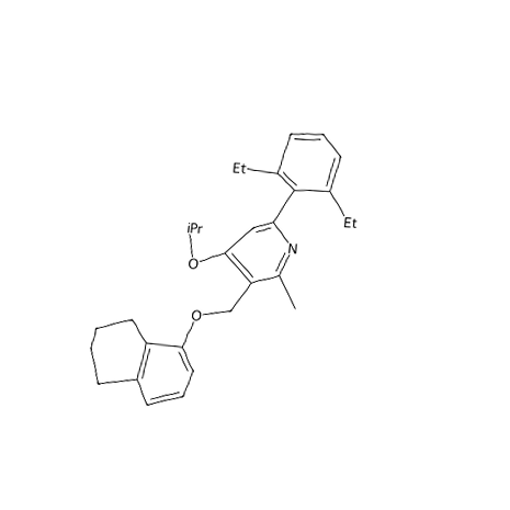 CCc1cccc(CC)c1-c1cc(OC(C)C)c(COc2cccc3c2CCCC3)c(C)n1